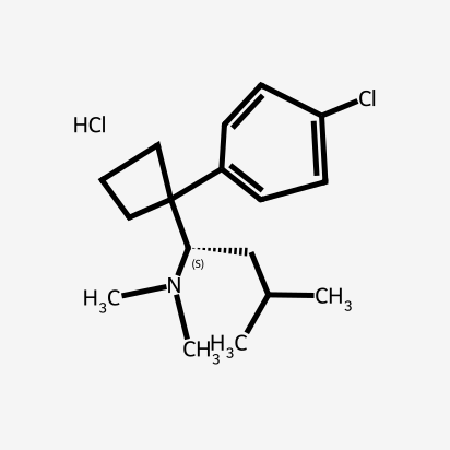 CC(C)C[C@H](N(C)C)C1(c2ccc(Cl)cc2)CCC1.Cl